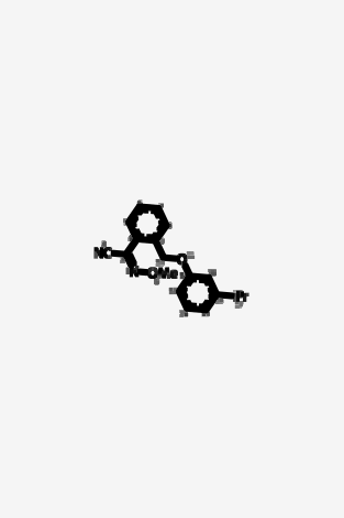 CO/N=C(/C#N)c1ccccc1COc1cccc(C(C)C)c1